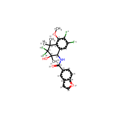 COc1c(F)c(F)cc2c1C(C)(C)C(F)(F)C(C)(O)C2NC(=O)c1ccc2occc2c1